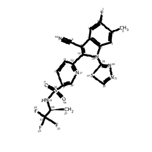 Cc1cc2c(cc1F)c(C#N)c(-c1ccc(S(=O)(=O)N[C@@H](C)C(F)(F)F)cn1)n2-c1nncs1